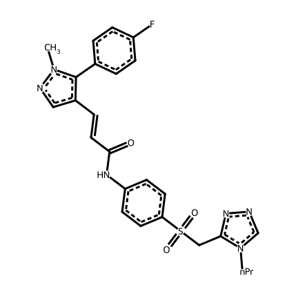 CCCn1cnnc1CS(=O)(=O)c1ccc(NC(=O)C=Cc2cnn(C)c2-c2ccc(F)cc2)cc1